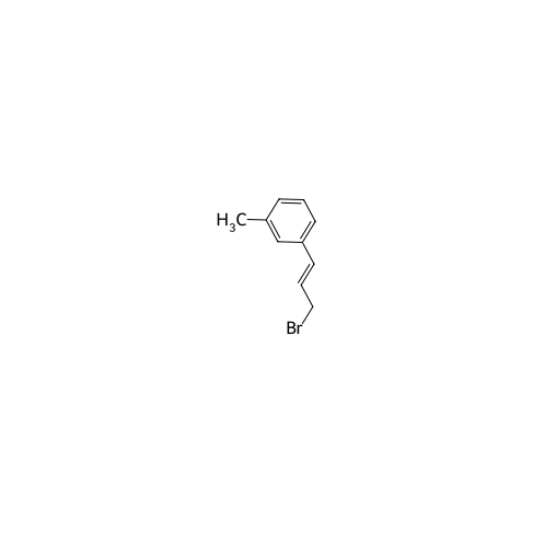 Cc1cccc(C=CCBr)c1